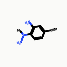 COc1ccc(N(N)C(C)=O)c(N)c1